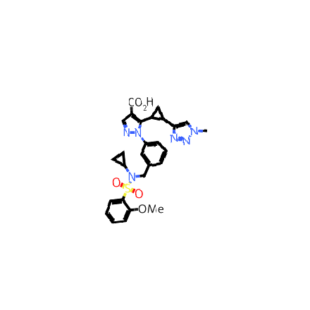 COc1ccccc1S(=O)(=O)N(Cc1cccc(-n2ncc(C(=O)O)c2C2CC2c2cn(C)nn2)c1)C1CC1